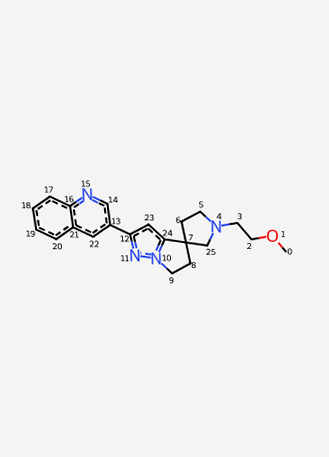 COCCN1CCC2(CCn3nc(-c4cnc5ccccc5c4)cc32)C1